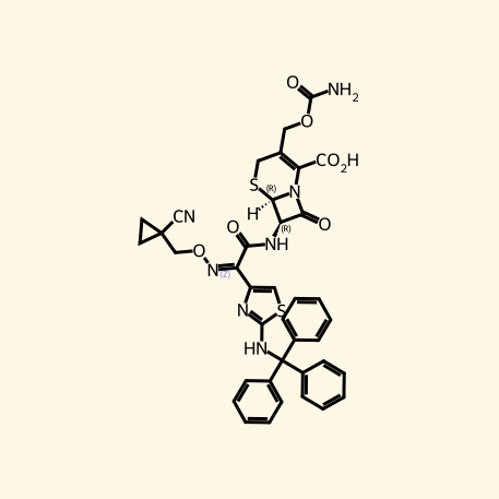 N#CC1(CO/N=C(\C(=O)N[C@@H]2C(=O)N3C(C(=O)O)=C(COC(N)=O)CS[C@H]23)c2csc(NC(c3ccccc3)(c3ccccc3)c3ccccc3)n2)CC1